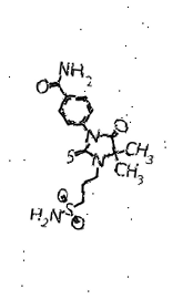 CC1(C)C(=O)N(c2ccc(C(N)=O)cc2)C(=S)N1CCCS(N)(=O)=O